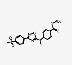 CN(c1nc(-c2ccc(S(C)(=O)=O)cc2)no1)C1CCN(C(=O)OC(C)(C)C)CC1